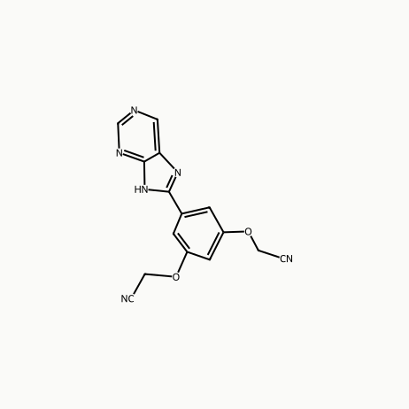 N#CCOc1cc(OCC#N)cc(-c2nc3cncnc3[nH]2)c1